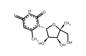 Cc1cc(=S)[nH]c(=O)n1[C@@H]1O[C@](C)(CO)[C@@H](O)[C@H]1O